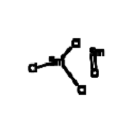 [Cl][Sm]([Cl])[Cl].[O]=[Sm]